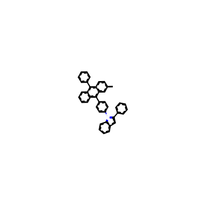 Cc1ccc2c(-c3ccccc3)c3ccccc3c(-c3ccc(-n4c(-c5ccccc5)cc5ccccc54)cc3)c2c1